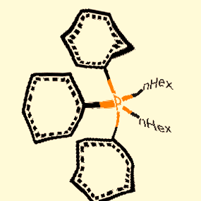 CCCCCCP(CCCCCC)(c1ccccc1)(c1ccccc1)c1ccccc1